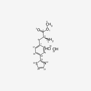 COC(=O)[C@@H](N)Cc1ccc(-c2nccs2)cc1.Cl.Cl